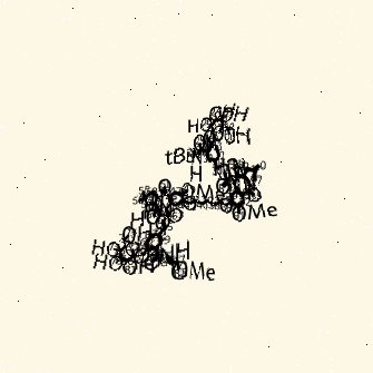 C=C1C[C@H]2C(O)N(C(=O)OCc3ccc(O[C@@H]4O[C@H](CO)[C@H](O)[C@H](O)[C@H]4O)c(C(O)NC(C)(C)C)c3)c3cc(OCCCCCOc4cc5c(cc4OC)C(=O)N4CC(C)(C)C[C@H]4C(O)N5C(=O)OCc4ccc(O[C@@H]5O[C@H](CO)[C@H](O)[C@H](O)[C@H]5O)c(C(=O)NCCOC)c4)c(OC)cc3C(=O)N2C1